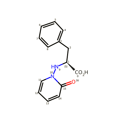 O=C(O)[C@H](Cc1ccccc1)Nn1ccccc1=O